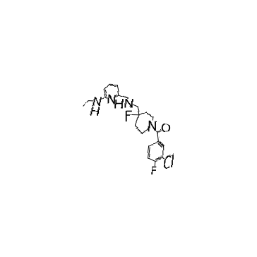 CCNc1cccc(CNCC2(F)CCN(C(=O)c3ccc(F)c(Cl)c3)CC2)n1